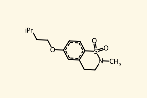 CC(C)CCOc1ccc2c(c1)CCN(C)S2(=O)=O